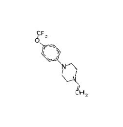 C=CN1CCN(c2ccc(OC(F)(F)F)cc2)CC1